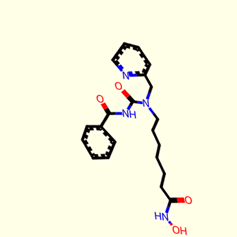 O=C(CCCCCCN(Cc1ccccn1)C(=O)NC(=O)c1ccccc1)NO